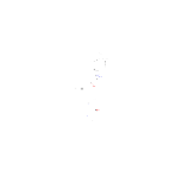 CC(N)C(=O)N1CCC(C(C)NC(=O)c2nc3ccc(F)cc3s2)CC1